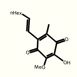 CCCCCCC=CC1=C(C)C(=O)C(O)=C(OC)C1=O